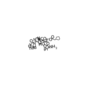 CCCCOC(C)(C)C(=O)Nc1ncnn2c([C@]3(C#N)O[C@H](COC(=O)CC4CCCC4)[C@@H](OC(=O)[C@@H](N)C(C)C)[C@H]3O)ccc12